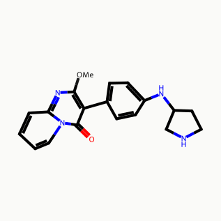 COc1nc2ccccn2c(=O)c1-c1ccc(NC2CCNC2)cc1